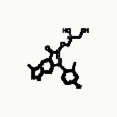 Cc1cc(Br)ccc1Nc1cc2nnc(C)n2cc1C(=O)NOC[C@H](O)CO